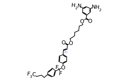 Nc1cc(N)cc(C(=O)OCCCCCCOC(=O)/C=C/c2ccc(OC(F)(F)c3ccc(CCCC(F)(F)F)cc3)cc2)c1